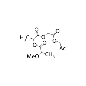 COC(C)C(=O)OC(C)C(=O)OCC(=O)OCC(C)=O